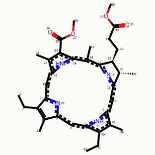 CCC1=C(C)c2cc3[nH]c(cc4nc(c(C)c5[nH]c(cc1n2)c(C)c5C(=O)OC)[C@@H](CCC(=O)OC)[C@@H]4C)c(C)c3CC